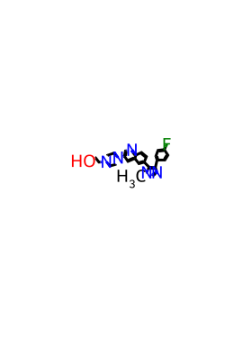 Cn1cnc(-c2ccc(F)cc2)c1-c1ccc2ncc(N3CCN(CCO)CC3)cc2c1